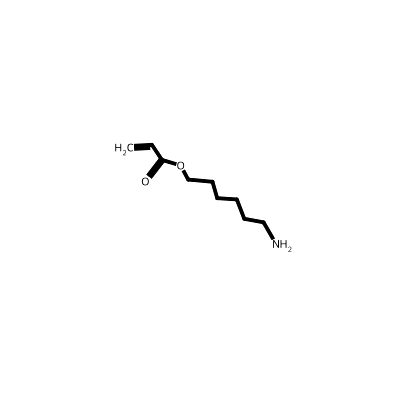 C=CC(=O)OCCCCCCN